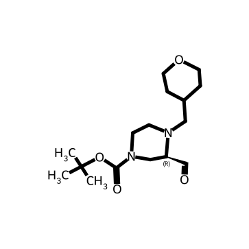 CC(C)(C)OC(=O)N1CCN(CC2CCOCC2)[C@@H](C=O)C1